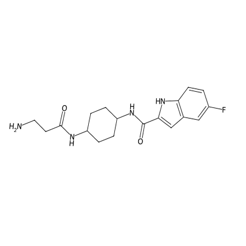 NCCC(=O)NC1CCC(NC(=O)c2cc3cc(F)ccc3[nH]2)CC1